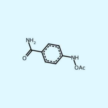 CC(=O)ONc1ccc(C(N)=O)cc1